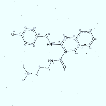 CN(C)CCCNC(=O)c1nc2ccccc2nc1NSc1ccc(Cl)cc1